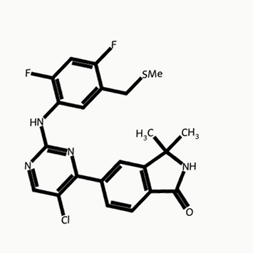 CSCc1cc(Nc2ncc(Cl)c(-c3ccc4c(c3)C(C)(C)NC4=O)n2)c(F)cc1F